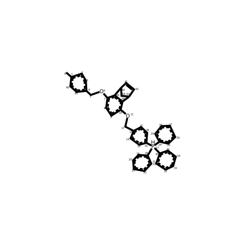 Cc1ccc(COc2ccc(OCc3ccc([PH](c4ccccc4)(c4ccccc4)c4ccccc4)cc3)c3c2C2C=CC3C2)cc1